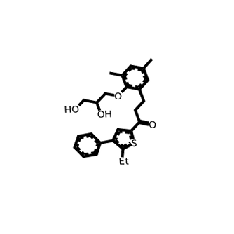 CCc1sc(C(=O)CCc2cc(C)cc(C)c2OCC(O)CO)cc1-c1ccccc1